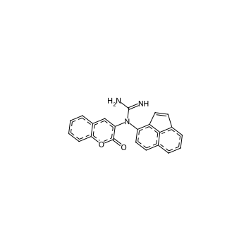 N=C(N)N(c1ccc2cccc3c2c1C=C3)c1cc2ccccc2oc1=O